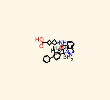 BC(B)(B)C(B)(c1ccc(-c2ccccc2)cc1)n1ncc2cccc(C(=O)NC3CC4(C3)CC(C(=O)O)C4)c21